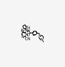 C[C@H]1CCC[C@H]1N(NC(=O)c1ccc(CN2CCN(C)CC2)cc1)c1nc(C#N)ncc1Br